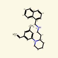 C=Cc1cc(C)cc(N2CCCCC2CCNCc2cccc3ccccc23)c1